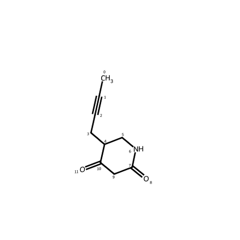 CC#CCC1CNC(=O)CC1=O